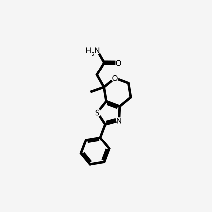 CC1(CC(N)=O)OCCc2nc(-c3ccccc3)sc21